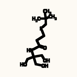 CC(C)(C)CSCCC(=O)NC(CO)(CO)CO